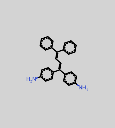 Nc1ccc(C(=CC=C(c2ccccc2)c2ccccc2)c2ccc(N)cc2)cc1